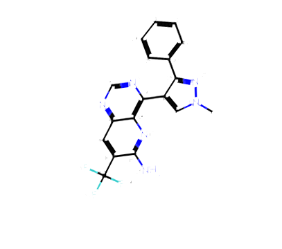 Cn1cc(-c2ncnc3cc(C(F)(F)F)c(N)nc23)c(-c2ccccc2)n1